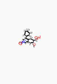 COc1cc2c[n+]([O-])cc(-c3ccccc3)c2cc1CO